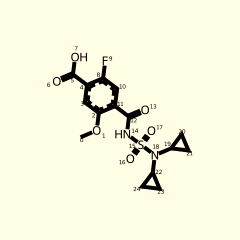 COc1cc(C(=O)O)c(F)cc1C(=O)NS(=O)(=O)N(C1CC1)C1CC1